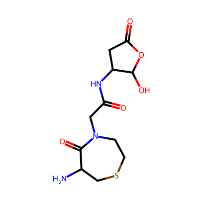 NC1CSCCN(CC(=O)NC2CC(=O)OC2O)C1=O